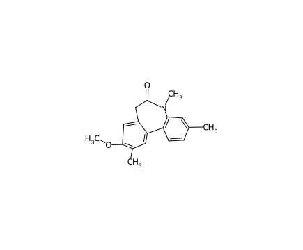 COc1cc2c(cc1C)-c1ccc(C)cc1N(C)C(=O)C2